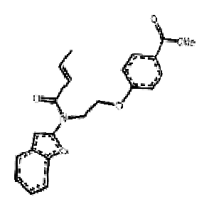 CC=CC(=O)N(CCOc1ccc(C(=O)OC)cc1)c1cc2ccccc2o1